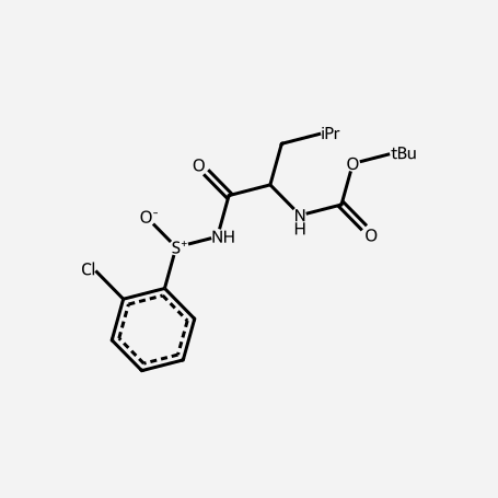 CC(C)CC(NC(=O)OC(C)(C)C)C(=O)N[S+]([O-])c1ccccc1Cl